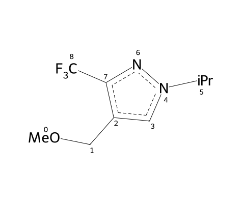 COCc1cn(C(C)C)nc1C(F)(F)F